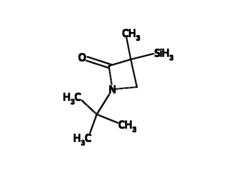 CC1([SiH3])CN(C(C)(C)C)C1=O